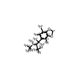 [2H]c1c([2H])c(C([2H])([2H])C(N([2H])C([2H])([2H])[2H])C([2H])([2H])[2H])c([2H])c2c1OCO2